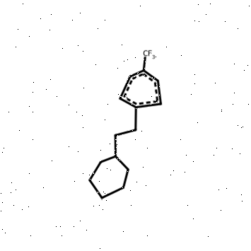 FC(F)(F)c1ccc(CCC2CC[CH]CC2)cc1